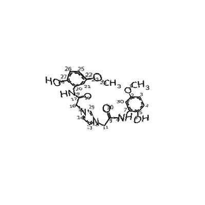 COc1ccc(O)c(NC(=O)Cn2cc[n+](CC(=O)Nc3cc(OC)ccc3O)c2)c1